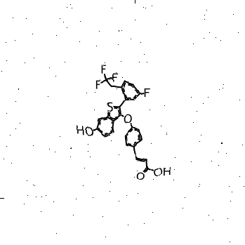 O=C(O)/C=C/c1ccc(Oc2c(-c3cc(F)ccc3CC(F)(F)F)sc3cc(O)ccc23)cc1